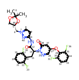 CC1(C)OC[C@@H](Cn2ccc(NC(=O)C(Cc3c(F)cccc3F)n3ncc(Oc4c(F)cccc4F)cc3=O)n2)O1